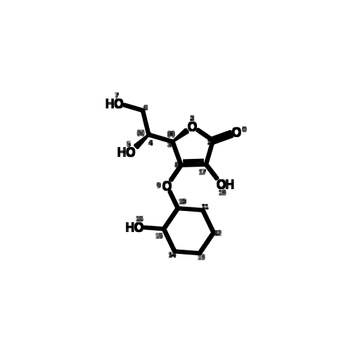 O=C1O[C@H]([C@@H](O)CO)C(OC2CCCCC2O)=C1O